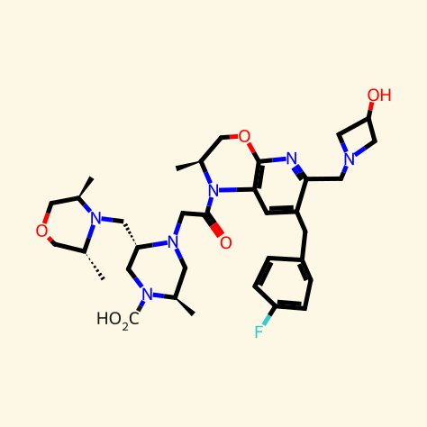 C[C@@H]1CN(CC(=O)N2c3cc(Cc4ccc(F)cc4)c(CN4CC(O)C4)nc3OC[C@@H]2C)[C@@H](CN2[C@H](C)COC[C@H]2C)CN1C(=O)O